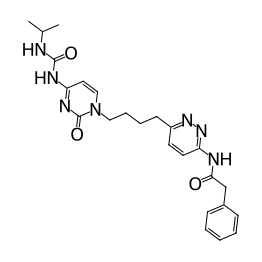 CC(C)NC(=O)Nc1ccn(CCCCc2ccc(NC(=O)Cc3ccccc3)nn2)c(=O)n1